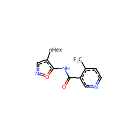 CCCCCCc1cnoc1NC(=O)c1cnccc1C(F)(F)F